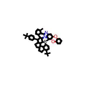 Cc1cccc2c1c1nc3cc4c(c5c3n1c1c3c6c(ccc7ccc8c(C(C)(C)C)ccc(c8c76)B53)c(-c3ccc(C(C)(C)C)cc3)c21)Oc1ccccc1O4